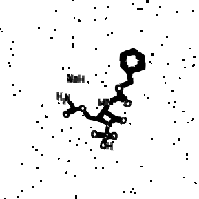 NC(=O)OCC1C(NC(=O)OCc2ccccc2)C(=O)N1S(=O)(=O)O.[NaH]